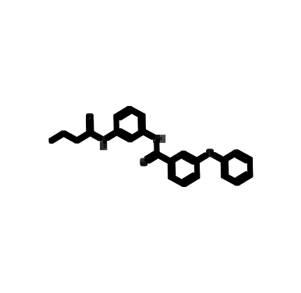 CCCC(=O)Nc1cccc(NC(=O)c2cccc(Oc3ccccc3)c2)c1